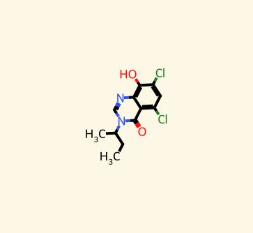 CCC(C)n1cnc2c(O)c(Cl)cc(Cl)c2c1=O